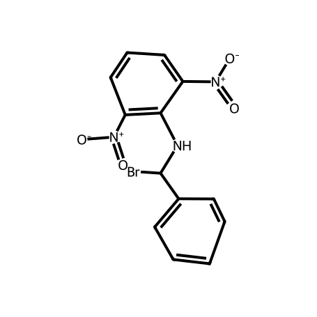 O=[N+]([O-])c1cccc([N+](=O)[O-])c1NC(Br)c1ccccc1